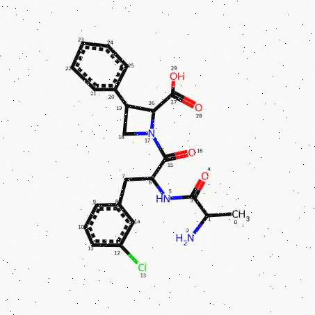 CC(N)C(=O)NC(Cc1cccc(Cl)c1)C(=O)N1CC(c2ccccc2)C1C(=O)O